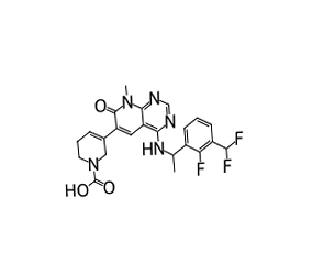 CC(Nc1ncnc2c1cc(C1=CCCN(C(=O)O)C1)c(=O)n2C)c1cccc(C(F)F)c1F